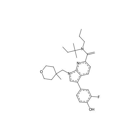 C=C(c1ccc2c(-c3ccc(O)c(F)c3)cn(CC3(C)CCOCC3)c2n1)N(CCC)C(C)(C)CC